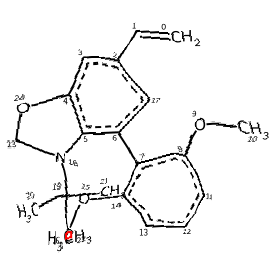 C=Cc1cc2c(c(-c3c(OC)cccc3OC)c1)N(C(C)(C)C)CO2